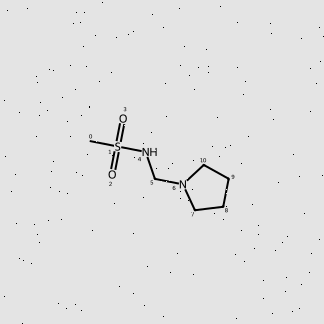 CS(=O)(=O)NCN1CCCC1